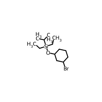 CC[Si](CC)(OC1CCCC(Br)C1)C(C)C